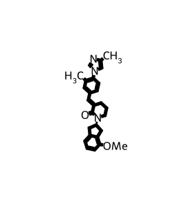 COc1cccc2c1C[C@H](N1CCC/C(=C\c3ccc(-n4cnc(C)c4)c(C)c3)C1=O)C2